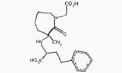 CC1(NC(CCc2ccccc2)C(=O)O)CCCCN(CC(=O)O)C1=O